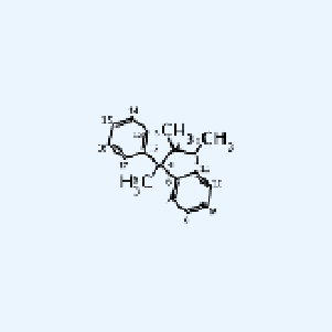 CCC(C)C(C)(c1ccccc1)c1ccccc1